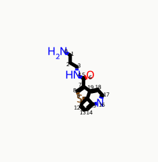 NCCCNC(=O)C1=CSC23CC=CC=C2N=CC=C13